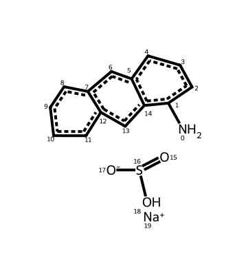 Nc1cccc2cc3ccccc3cc12.O=S([O-])O.[Na+]